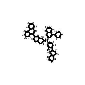 c1ccc(-c2cc(N(c3ccc4ccc(-c5cc6ccccc6c6ccccc56)cc4c3)c3ccc4c(c3)sc3c5ccccc5ccc43)cc3ccccc23)cc1